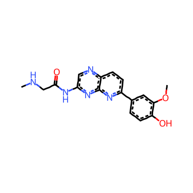 CNCC(=O)Nc1cnc2ccc(-c3ccc(O)c(OC)c3)nc2n1